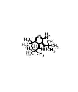 CC(C)(C)c1cnc(N)c2c(C(C)(C)C)[nH]c(C(C)(C)C)c12